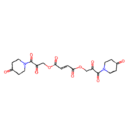 O=C1CCN(C(=O)C(=O)COC(=O)/C=C/C(=O)OCC(=O)C(=O)N2CCC(=O)CC2)CC1